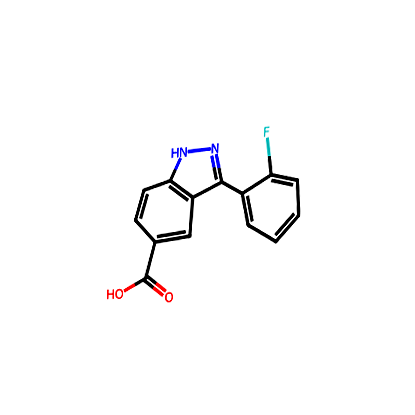 O=C(O)c1ccc2[nH]nc(-c3ccccc3F)c2c1